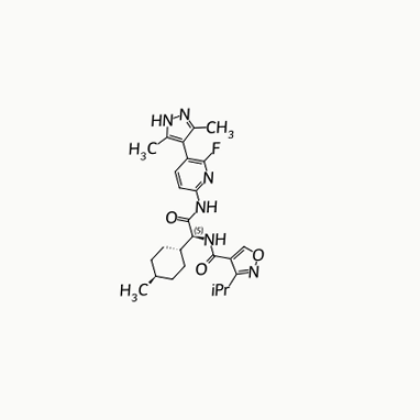 Cc1n[nH]c(C)c1-c1ccc(NC(=O)[C@@H](NC(=O)c2conc2C(C)C)[C@H]2CC[C@H](C)CC2)nc1F